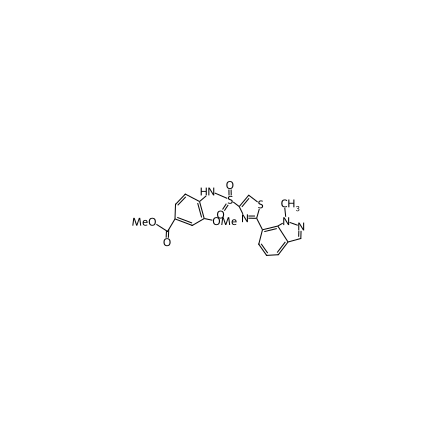 COC(=O)c1ccc(NS(=O)(=O)c2csc(-c3cccc4cnn(C)c34)n2)c(OC)c1